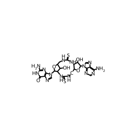 Nc1nc2c(ncn2C2OC3CNC(=S)NC4C(CNC(=S)NC2C3O)OC(n2cnc3c(N)ncnc32)C4O)c(=O)[nH]1